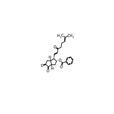 CC(C)=CCCC(=O)/C=C/[C@@H]1[C@H]2CC(=O)C(=O)[C@H]2C[C@H]1OC(=O)c1ccccc1